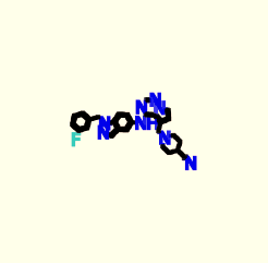 N#CC1CCN(Cc2ccn3ncnc(Nc4ccc5c(cnn5Cc5cccc(F)c5)c4)c23)CC1